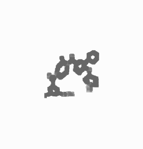 CC(=O)Nc1cc(F)cc(C(=O)N2CCN(C(=O)c3ccc(O[C@H]4CCNC4)c(C4CCCCC4)c3)C(C)C2)c1